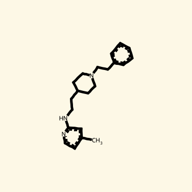 Cc1ccnc(NCCC2CCN(CCc3ccccc3)CC2)c1